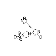 CCS(=O)(=O)N1CCN(c2cc(Cl)ncc2C#Cc2cnn(C)c2)CC1